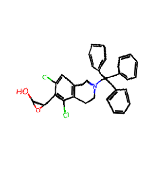 OC1OC1c1c(Cl)cc2c(c1Cl)CCN(C(c1ccccc1)(c1ccccc1)c1ccccc1)C2